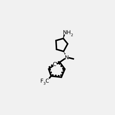 CN(c1ccc(C(F)(F)F)cc1)[C@@H]1CC[C@@H](N)C1